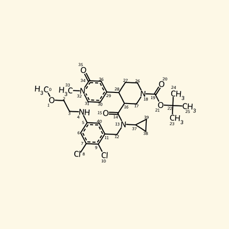 COCCNc1cc(Cl)c(Cl)c(CN(C(=O)C2CN(C(=O)OC(C)(C)C)CCC2c2ccn(C)c(=O)c2)C2CC2)c1